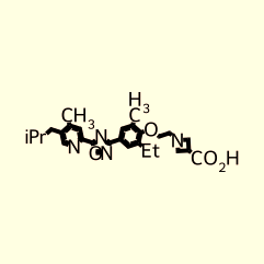 CCc1cc(-c2noc(-c3cc(C)c(CC(C)C)cn3)n2)cc(C)c1OCCN1CC(C(=O)O)C1